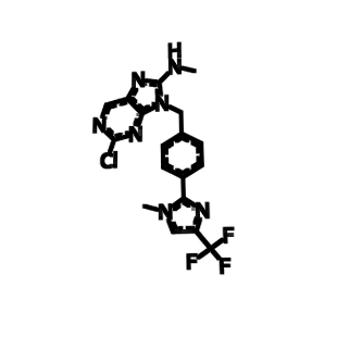 CNc1nc2cnc(Cl)nc2n1Cc1ccc(-c2nc(C(F)(F)F)cn2C)cc1